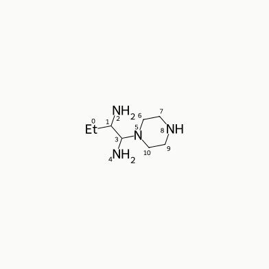 CCC(N)C(N)N1CCNCC1